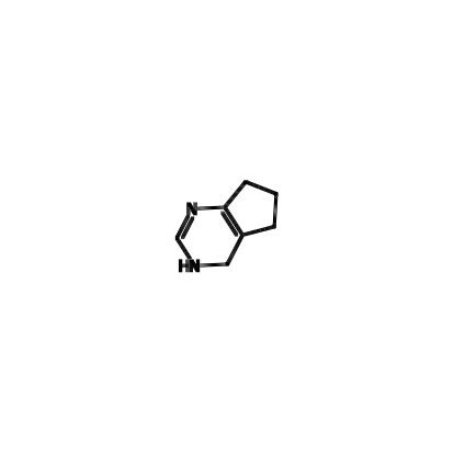 C1=NC2=C(CCC2)CN1